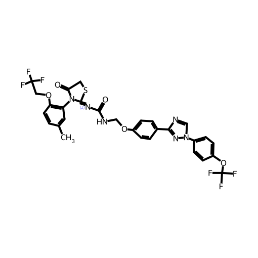 Cc1ccc(OCC(F)(F)F)c(N2C(=O)CS/C2=N\C(=O)NCOc2ccc(-c3ncn(-c4ccc(OC(F)(F)F)cc4)n3)cc2)c1